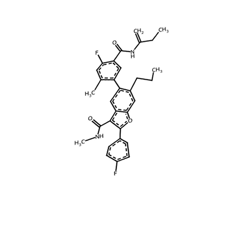 C=C(CC)NC(=O)c1cc(-c2cc3c(C(=O)NC)c(-c4ccc(F)cc4)oc3cc2CCC)c(C)cc1F